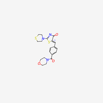 O=C1N=C(N2CCSCC2)S/C1=C\c1ccc(C(=O)N2CCOCC2)cc1